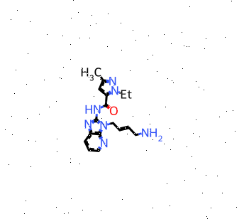 CCn1nc(C)cc1C(=O)Nc1nc2cccnc2n1CC=CCN